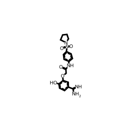 N=C(N)c1ccc(O)c(OCC(=O)Nc2ccc(S(=O)(=O)N3CCCC3)cc2)c1